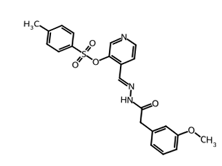 COc1cccc(CC(=O)NN=Cc2ccncc2OS(=O)(=O)c2ccc(C)cc2)c1